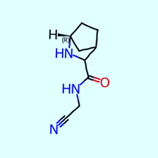 N#CCNC(=O)C1N[C@@H]2CCC1C2